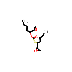 CCCCC(OC(=O)SC(CCCC)C1CO1)C1CO1